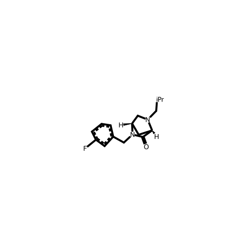 CC(C)CN1C[C@@H]2C[C@H]1C(=O)N2Cc1cccc(F)c1